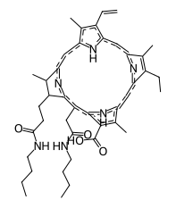 C=Cc1c(C)c2cc3nc(c(CC(=O)NCCCC)c4[nH]c(cc5nc(cc1[nH]2)C(C)=C5CC)c(C)c4C(=O)O)C(CCC(=O)NCCCC)C3C